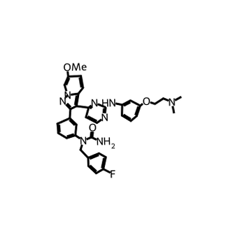 COc1ccc2c(-c3ccnc(Nc4cccc(OCCN(C)C)c4)n3)c(-c3cccc(N(Cc4ccc(F)cc4)C(N)=O)c3)nn2c1